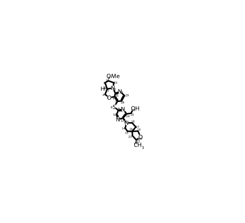 CO[C@H]1C[C@@H]2COc3c(Sc4cnc(N5CCC6(CC5)CO[C@@H](C)C6)c(CO)n4)ccnc3N2C1